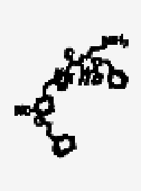 N#Cc1cc(Cc2nc(C(=O)C(CCCCN)NC(=O)OCc3ccccc3)no2)ccc1OCCc1ccccc1